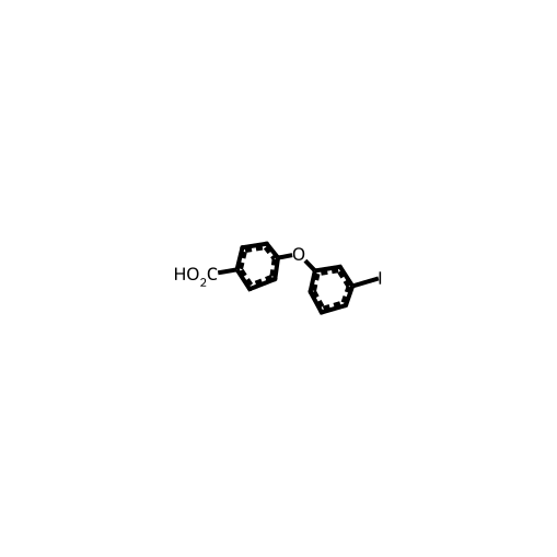 O=C(O)c1ccc(Oc2cccc(I)c2)cc1